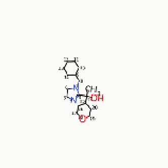 CC(O)(C1=NCCN1CC1CCCCC1)C1CCOCC1